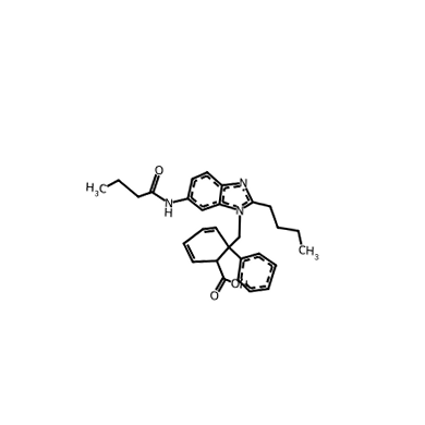 CCCCc1nc2ccc(NC(=O)CCC)cc2n1CC1(c2ccccc2)C=CC=CC1C(=O)O